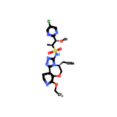 COC[C@@H]1COc2c(ccnc2OCC(F)(F)F)-c2nnc(NS(=O)(=O)[C@@H](C)[C@@H](OC(C)C)c3ncc(Cl)cn3)n21